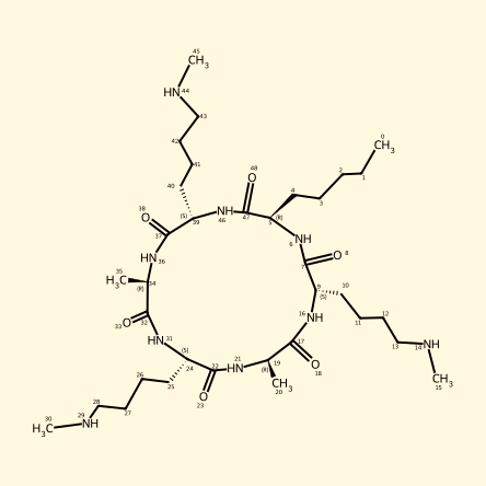 CCCCC[C@H]1NC(=O)[C@H](CCCCNC)NC(=O)[C@@H](C)NC(=O)[C@H](CCCCNC)NC(=O)[C@@H](C)NC(=O)[C@H](CCCCNC)NC1=O